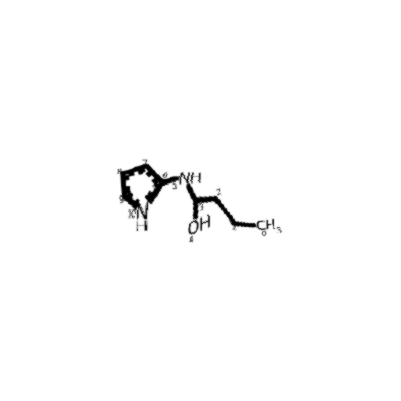 CCCC(O)Nc1ccc[nH]1